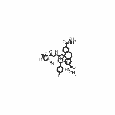 CNC(=O)c1ccc2c(c1)CCc1cc(C(=O)NC)ccc1C2(CCNCC(=O)N1[C@H](C#N)C[C@@H]2C[C@@H]21)c1nnc(-c2ccc(F)cc2)[nH]1